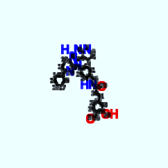 Nc1ncccc1-c1nc2ccc(-c3ccccc3)nc2n1-c1ccc(CNC(=O)C=Cc2ccc(C=O)c(O)c2)cc1